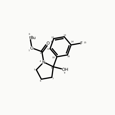 CC(C)(C)OC(=O)N1CCCC1(O)c1cccc(F)c1